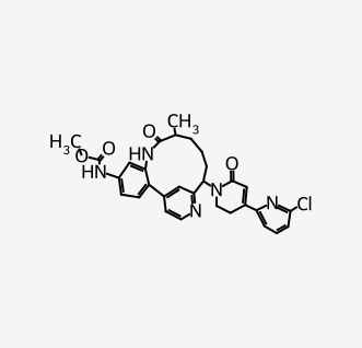 COC(=O)Nc1ccc2c(c1)NC(=O)C(C)CCCC(N1CCC(c3cccc(Cl)n3)=CC1=O)c1cc-2ccn1